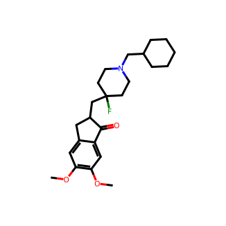 COc1cc2c(cc1OC)C(=O)C(CC1(F)CCN(CC3CCCCC3)CC1)C2